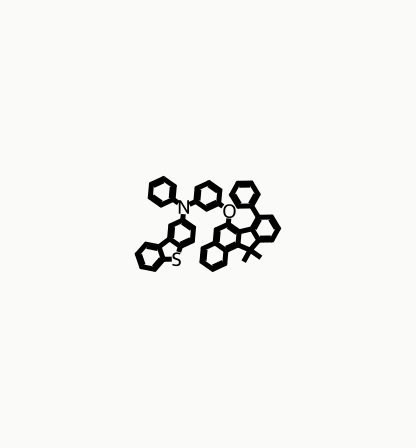 CC1(C)c2cccc(-c3ccccc3)c2-c2c(Oc3cccc(N(c4ccccc4)c4ccc5sc6ccccc6c5c4)c3)cc3ccccc3c21